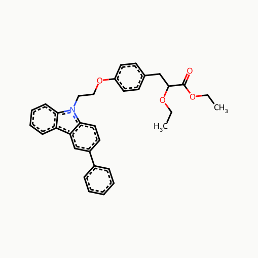 CCOC(=O)C(Cc1ccc(OCCn2c3ccccc3c3cc(-c4ccccc4)ccc32)cc1)OCC